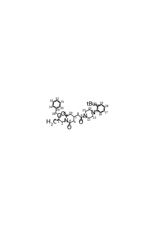 C=C(CN1C(=O)CC(CC(=O)N2CCN(c3ccccc3C(C)(C)C)CC2)CC1=O)OCc1ccccc1